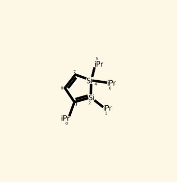 CC(C)C1=[Si](C(C)C)[Si](C(C)C)(C(C)C)C=C1